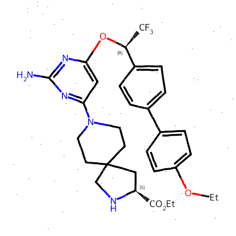 CCOC(=O)[C@@H]1CC2(CCN(c3cc(O[C@H](c4ccc(-c5ccc(OCC)cc5)cc4)C(F)(F)F)nc(N)n3)CC2)CN1